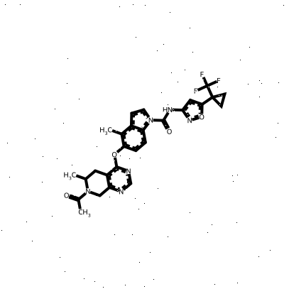 CC(=O)N1Cc2ncnc(Oc3ccc4c(ccn4C(=O)Nc4cc(C5(C(F)(F)F)CC5)on4)c3C)c2CC1C